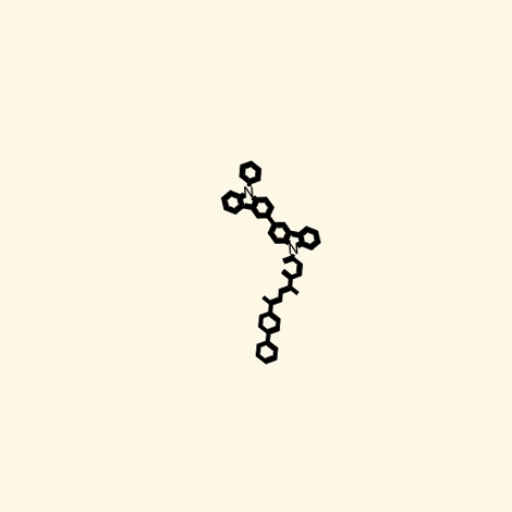 C=C(/C=C\C(=C)n1c2ccccc2c2cc(-c3ccc4c(c3)c3ccccc3n4-c3ccccc3)ccc21)/C(C)=C/C=C(\C)C1=CC=C(C2=CC=CCC2)CC1